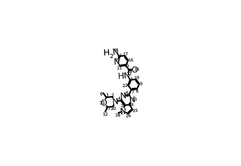 CC1CN(c2nc(-c3cccc(NC(=O)c4ccc(N)nc4)c3)nc3ccn(C)c23)CC(C)O1